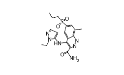 CCCS(=O)(=O)c1cc(C)c2nnc(C(N)=O)c(Nc3ccnn3CC)c2c1